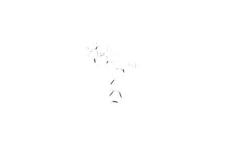 CC(C)C[C@@H](C(=O)NN1C(=O)CN(C)C1=O)[C@H](CC=Cc1ccccc1)C(=O)OC(C)(C)C